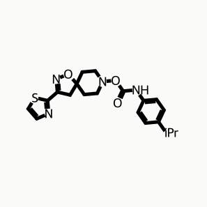 CC(C)c1ccc(NC(=O)ON2CCC3(CC2)CC(c2nccs2)=NO3)cc1